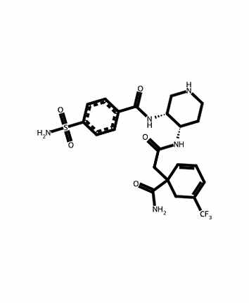 NC(=O)C1(CC(=O)N[C@H]2CCNC[C@H]2NC(=O)c2ccc(S(N)(=O)=O)cc2)C=CC=C(C(F)(F)F)C1